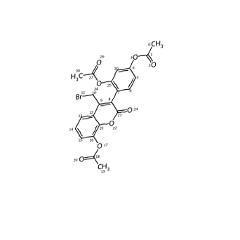 CC(=O)Oc1ccc(-c2c(CBr)c3cccc(OC(C)=O)c3oc2=O)c(OC(C)=O)c1